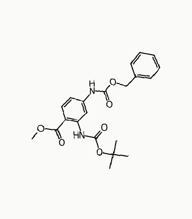 COC(=O)c1ccc(NC(=O)OCc2ccccc2)cc1NC(=O)OC(C)(C)C